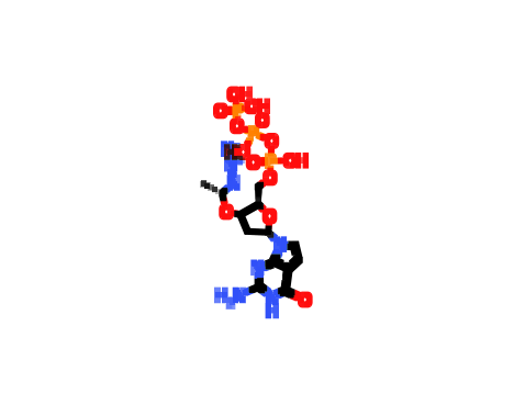 C[C@H](N=[N+]=[N-])OC1C[C@H](n2ccc3c(=O)[nH]c(N)nc32)O[C@@H]1COP(=O)(O)OP(=O)(O)OP(=O)(O)O